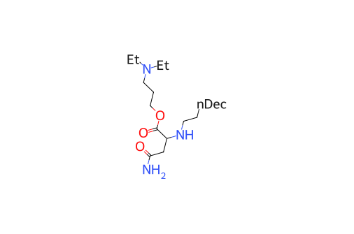 CCCCCCCCCCCCNC(CC(N)=O)C(=O)OCCCN(CC)CC